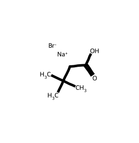 CC(C)(C)CC(=O)O.[Br-].[Na+]